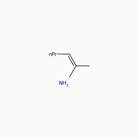 CCCC=C(C)C.N